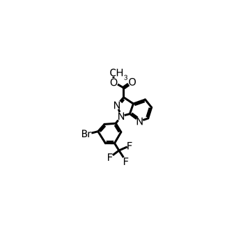 COC(=O)c1nn(-c2cc(Br)cc(C(F)(F)F)c2)c2ncccc12